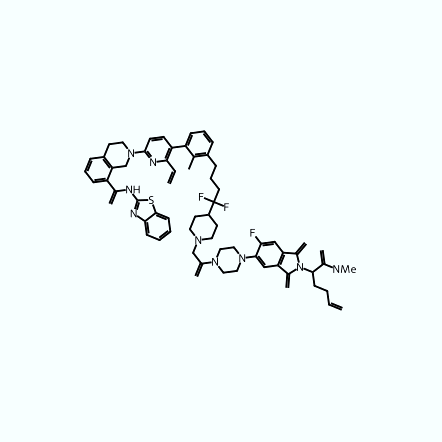 C=CCCC(C(=C)NC)n1c(=C)c2cc(F)c(N3CCN(C(=C)CN4CCC(C(F)(F)CCCc5cccc(-c6ccc(N7CCc8cccc(C(=C)Nc9nc%10ccccc%10s9)c8C7)nc6C=C)c5C)CC4)CC3)cc2c1=C